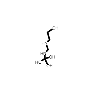 OCCNCNC(O)(O)O